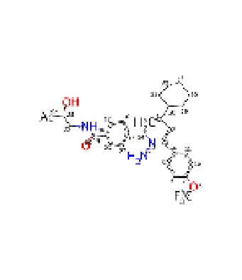 C=C(/C=C(/c1ccc(OC(F)(F)F)cc1)N(N)Cc1ccc(C(=O)NCC(O)C(C)=O)cc1)C1CCCCC1